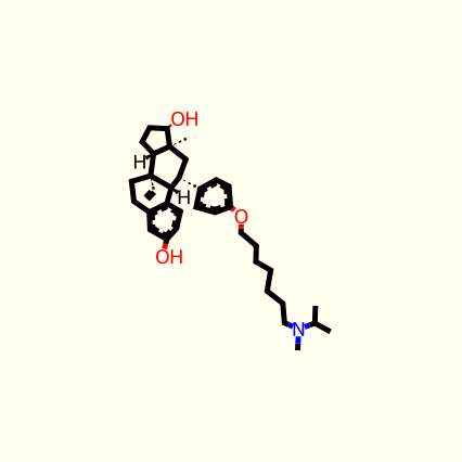 C=C[C@@]12CCc3cc(O)ccc3[C@H]1[C@@H](c1ccc(OCCCCCCCN(C)C(C)C)cc1)C[C@@]1(C)[C@H]2CC[C@@H]1O